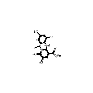 COC(=O)c1cc(Cl)c(=O)n(CI)c1Nc1ccc(Br)cc1F